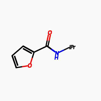 CC(C)NC(=O)c1ccco1